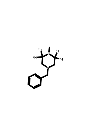 [2H]C1([2H])CN(Cc2ccccc2)CC([2H])([2H])N1C